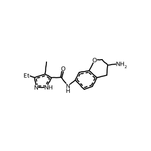 CCc1n[nH]c(C(=O)Nc2ccc3c(c2)OCC(N)C3)c1C